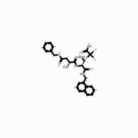 COC[C@H](NC(=O)[C@@H](N)CC(=O)OCc1ccccc1)C(=O)NCc1cccc2ccccc12.O=C(O)C(F)(F)F